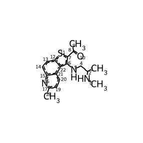 CNC(C)CNc1c(C(C)=O)sc2ccc3nc(C)ccc3c12